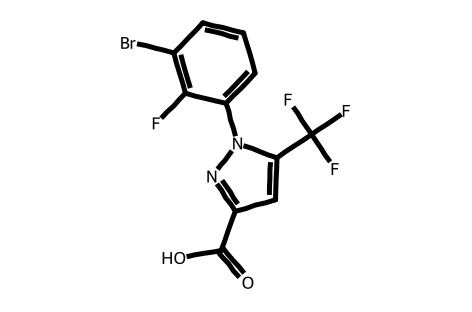 O=C(O)c1cc(C(F)(F)F)n(-c2cccc(Br)c2F)n1